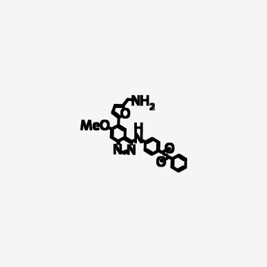 COc1cc2ncnc(Nc3ccc(S(=O)(=O)c4ccccc4)cc3)c2cc1-c1ccc(CN)o1